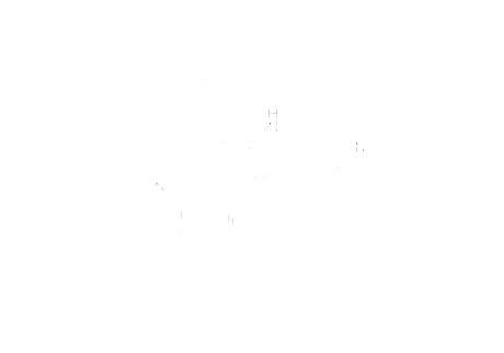 O=C=C(C(=O)Nc1ccncc1Cl)c1c[nH]c2ccc(Cl)cc12